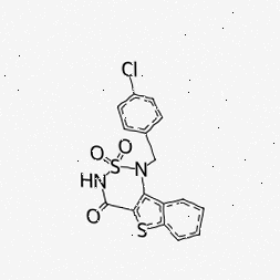 O=C1NS(=O)(=O)N(Cc2ccc(Cl)cc2)c2c1sc1ccccc21